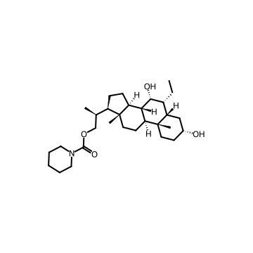 CC[C@H]1[C@@H](O)[C@@H]2[C@H](CC[C@]3(C)[C@@H]([C@H](C)COC(=O)N4CCCCC4)CC[C@@H]23)[C@@]2(C)CC[C@@H](O)C[C@@H]12